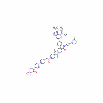 CC(C)n1cnc2cc(-c3ccc4c(c3)N(C3CC(N5CCC[C@H](F)C5)C3)C(=O)C43CCN(C(=O)C4(C)CCN(C(=O)CC5CCN(c6ccc([C@H]7CCC(=O)NC7=O)cn6)CC5)CC4)CC3)nc(NC3CC3)c21